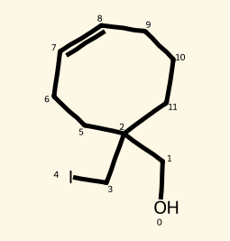 OCC1(CI)CCC=CCCC1